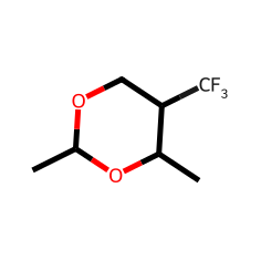 CC1OCC(C(F)(F)F)C(C)O1